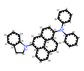 c1ccc(N(c2ccccc2)c2ccc3cc(N4CCc5ccccc54)c4cccc5ccc2c3c54)cc1